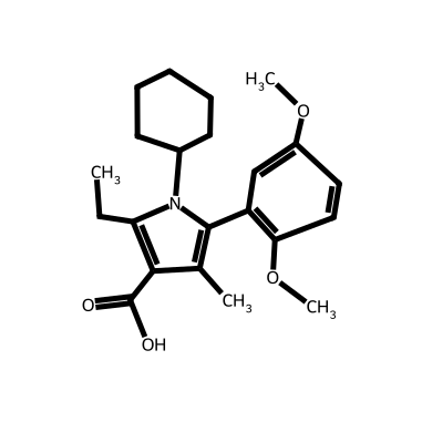 CCc1c(C(=O)O)c(C)c(-c2cc(OC)ccc2OC)n1C1CCCCC1